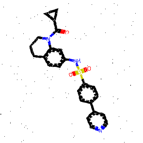 O=C(C1CC1)N1CCCc2ccc(NS(=O)(=O)c3ccc(-c4ccncc4)cc3)cc21